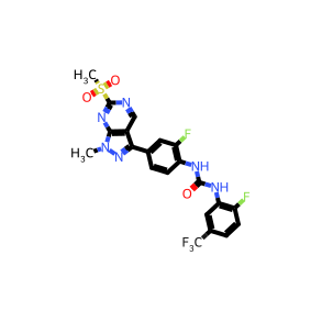 Cn1nc(-c2ccc(NC(=O)Nc3cc(C(F)(F)F)ccc3F)c(F)c2)c2cnc(S(C)(=O)=O)nc21